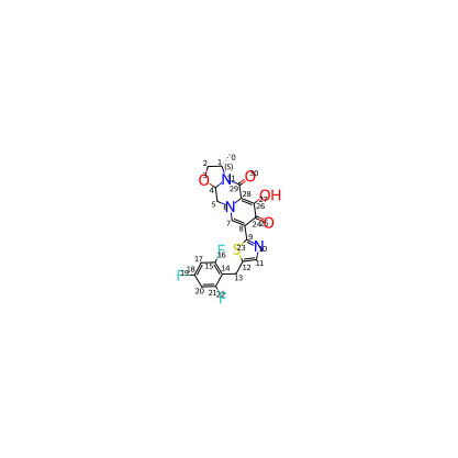 C[C@H]1COC2Cn3cc(-c4ncc(Cc5c(F)cc(F)cc5F)s4)c(=O)c(O)c3C(=O)N21